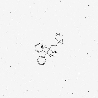 CC(C)(CCC1(CO)CC1)[Si](O)(c1ccccc1)c1ccccc1